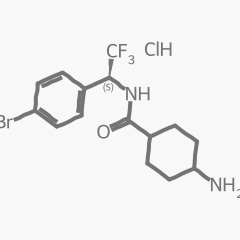 Cl.NC1CCC(C(=O)N[C@@H](c2ccc(Br)cc2)C(F)(F)F)CC1